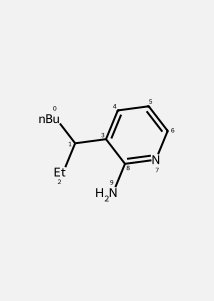 CCCCC(CC)c1cccnc1N